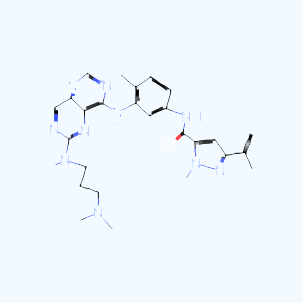 C=C(C)c1cc(C(=O)Nc2ccc(C)c(Nc3ncnc4cnc(N(C)CCCN(C)C)nc34)c2)n(C)n1